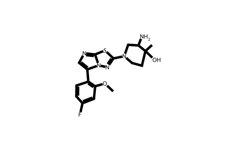 COc1cc(F)ccc1-c1cnc2sc(N3CCC(C)(O)C(N)C3)nn12